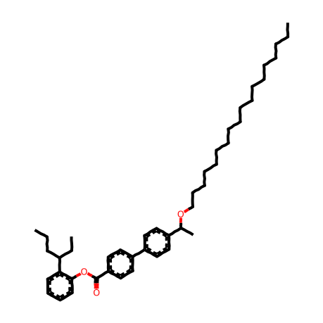 CCCCCCCCCCCCCCCCCCOC(C)c1ccc(-c2ccc(C(=O)Oc3ccccc3C(CC)CCC)cc2)cc1